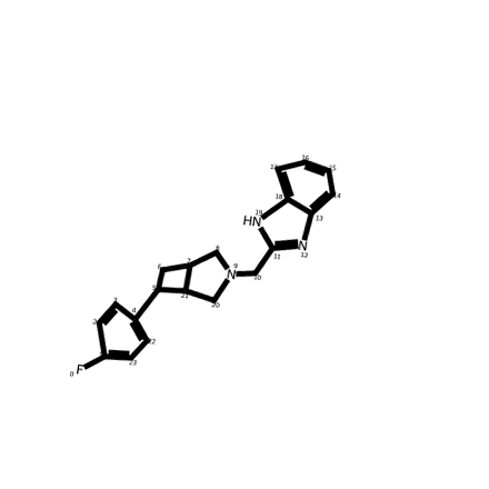 Fc1ccc(C2CC3CN(Cc4nc5ccccc5[nH]4)CC32)cc1